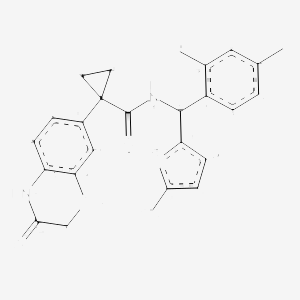 Cc1ccc(C(NC(=O)C2(c3ccc4c(c3)OCC(=O)N4)CC2)c2ccc(Cl)o2)c(C)c1